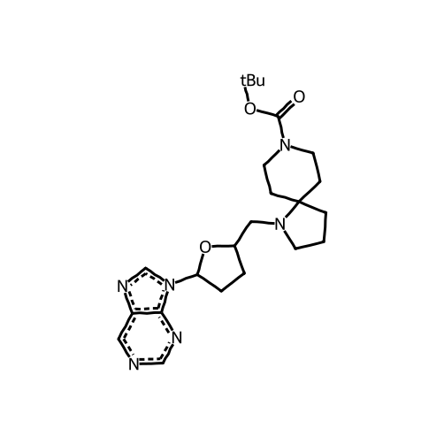 CC(C)(C)OC(=O)N1CCC2(CCCN2CC2CCC(n3cnc4cncnc43)O2)CC1